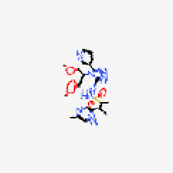 COCC(COC)n1c(NS(=O)(=O)C(C)C(C)c2cnc(C)cn2)nnc1-c1cccnc1